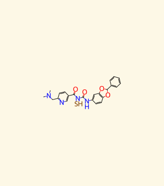 CN(C)Cc1ccc(C(=O)N(S)C(=O)Nc2ccc3c(c2)OC(c2ccccc2)O3)cn1